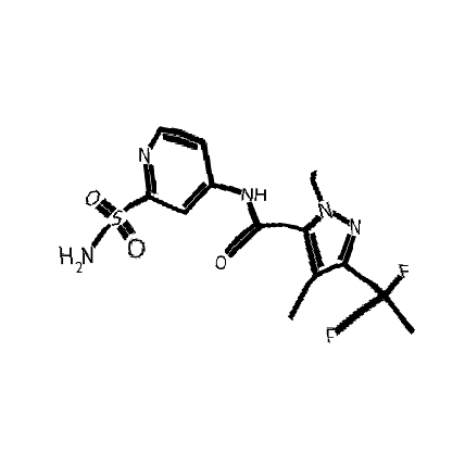 Cc1c(C(C)(F)F)nn(C)c1C(=O)Nc1ccnc(S(N)(=O)=O)c1